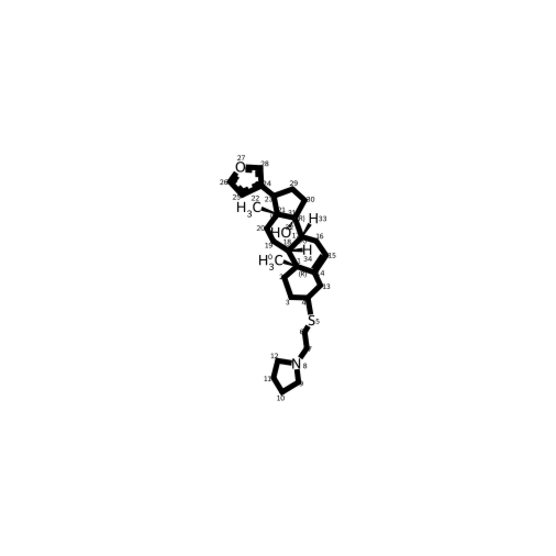 C[C@]12CCC(SCCN3CCCC3)CC1=CC[C@@H]1[C@H]2CC[C@]2(C)C(c3ccoc3)CC[C@@]12O